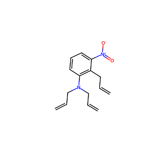 C=CCc1c(N(CC=C)CC=C)cccc1[N+](=O)[O-]